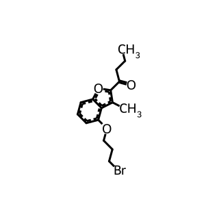 CCCC(=O)c1oc2cccc(OCCCBr)c2c1C